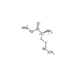 C[Se]CC[C@H](N)C(=O)O[SeH]